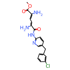 COC(=O)/C(N)=C/C=C(\N)C(=O)Nc1ccc(Cc2cccc(Cl)c2)cn1